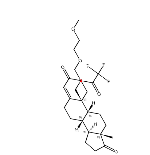 COCCOCN(C[C@]12CCC(=O)C=C1CC[C@@H]1[C@H]2CC[C@]2(C)C(=O)CC[C@@H]12)C(=O)C(F)(F)F